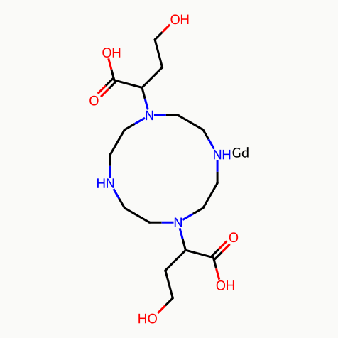 O=C(O)C(CCO)N1CCNCCN(C(CCO)C(=O)O)CCNCC1.[Gd]